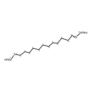 CCCCCCSCCCCCCCCCCCCSCCCCCC